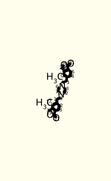 Cc1c(CCN2CCN(CCc3ccc4c(c3C)COC4=O)CC2)ccc2c1COC2=O